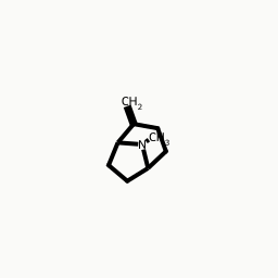 C=C1CCC2CCC1N2C